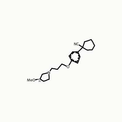 CO[C@@H]1CCN(CCCOc2ccc(C3(C#N)CCCCC3)cc2)C1